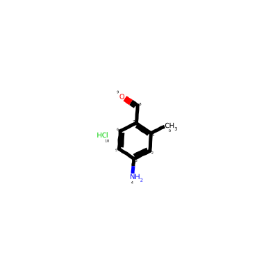 Cc1cc(N)ccc1C=O.Cl